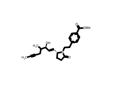 CC#CCC(C)[C@@H](O)/C=C/[C@H]1CCC(=O)N1CCc1ccc(C(=O)OC)cc1